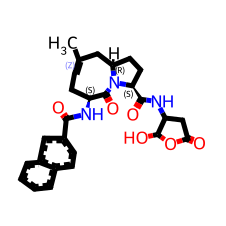 C/C1=C/C[C@H](NC(=O)c2ccc3ccccc3c2)C(=O)N2[C@H](CC[C@H]2C(=O)NC2CC(=O)OC2O)C1